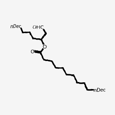 CCCCCCCCCCCCCCCCCCCC(=O)OC(CC=O)CCCCCCCCCCCCC